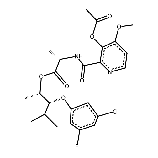 COc1ccnc(C(=O)N[C@@H](C)C(=O)O[C@@H](C)[C@H](Oc2cc(F)cc(Cl)c2)C(C)C)c1OC(C)=O